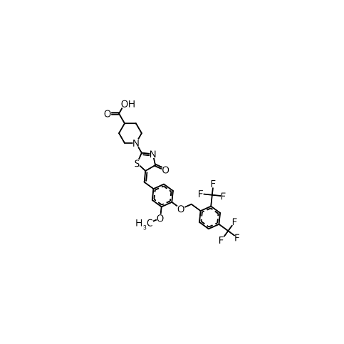 COc1cc(C=C2SC(N3CCC(C(=O)O)CC3)=NC2=O)ccc1OCc1ccc(C(F)(F)F)cc1C(F)(F)F